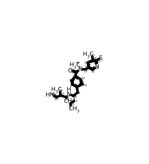 CCC[C@@H](Cc1ccc(C(=O)N(C)Cc2cnc(F)c(C)c2)cc1)NC(C)C(C)C=N